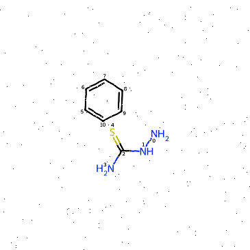 NNC(N)=S.c1ccccc1